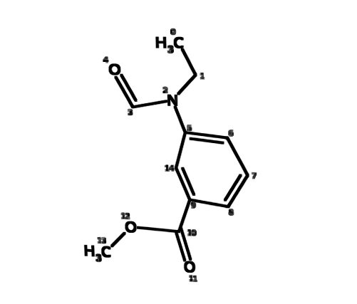 CCN(C=O)c1cccc(C(=O)OC)c1